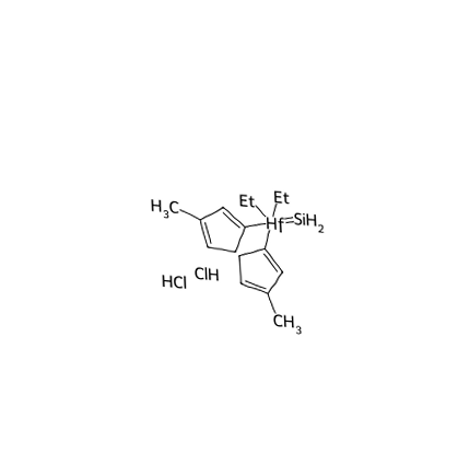 C[CH2][Hf](=[SiH2])([CH2]C)([C]1=CC(C)=CC1)[C]1=CC(C)=CC1.Cl.Cl